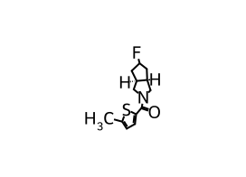 Cc1ccc(C(=O)N2C[C@H]3CC(F)C[C@H]3C2)s1